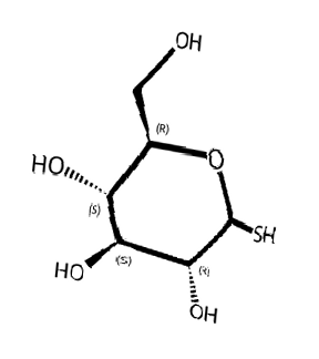 OC[C@H]1OC(S)[C@H](O)[C@@H](O)[C@@H]1O